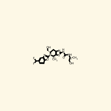 C[C@H](CO)NC(=O)Nc1nc2c(s1)[C@H](C)N(c1nc3cc(C(F)F)ccc3o1)[C@H](CO)C2